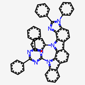 c1ccc(-c2nc(-c3ccccc3)nc(-n3c4ccccc4c4ccc5c6ccc7c(nc(-c8ccccc8)n7-c7ccccc7)c6n(-c6ccccc6)c5c43)n2)cc1